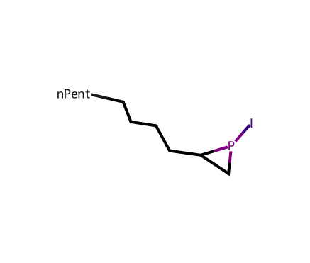 CCCCCCCCCC1CP1I